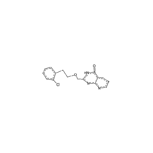 O=c1[nH]c(COCCc2ccccc2Cl)nc2ncccc12